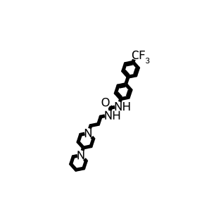 O=C(NCCCN1CCC(N2CCCCC2)CC1)Nc1ccc(-c2ccc(C(F)(F)F)cc2)cc1